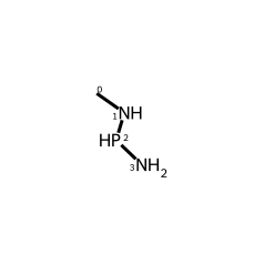 CNPN